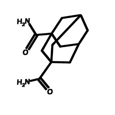 NC(=O)C12CC3CC(C1)CC(C(N)=O)(C3)C2